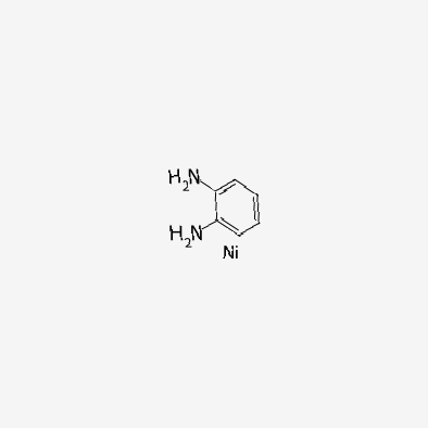 Nc1ccccc1N.[Ni]